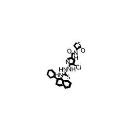 O=C(NC1CCSC1=O)c1cnc(NNC(=S)Nc2c(C3C=CCCC3)ccc3ccccc23)c(Cl)c1